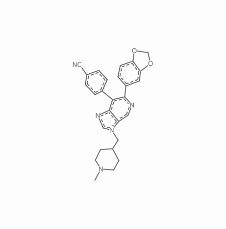 CN1CCC(Cn2cnc3c(-c4ccc(C#N)cc4)c(-c4ccc5c(c4)OCO5)ncc32)CC1